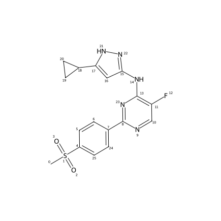 CS(=O)(=O)c1ccc(-c2ncc(F)c(Nc3cc(C4CC4)[nH]n3)n2)cc1